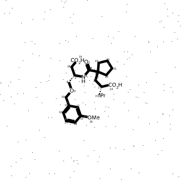 CCC[C@H](CC1(C(=O)N[C@H](COCc2cccc(OC)c2)CC(=O)O)CCCC1)C(=O)O